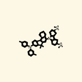 Cc1ccc(N(c2cccc(C)c2)c2ccc3c(c2)C(C)(C)c2cc(-n4c5ccc([Si](C)(C)C)cc5c5cc([Si](C)(C)C)ccc54)c4ccccc4c2-3)cc1